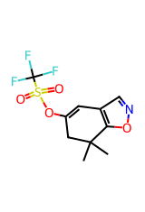 CC1(C)CC(OS(=O)(=O)C(F)(F)F)=Cc2cnoc21